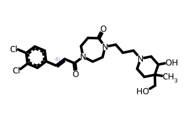 CC1(CO)CCN(CCCN2CCN(C(=O)/C=C/c3ccc(Cl)c(Cl)c3)CCC2=O)CC1O